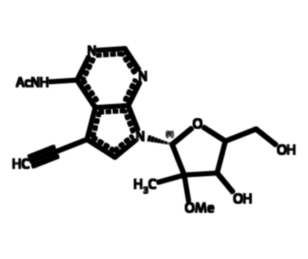 C#Cc1cn([C@@H]2OC(CO)C(O)C2(C)OC)c2ncnc(NC(C)=O)c12